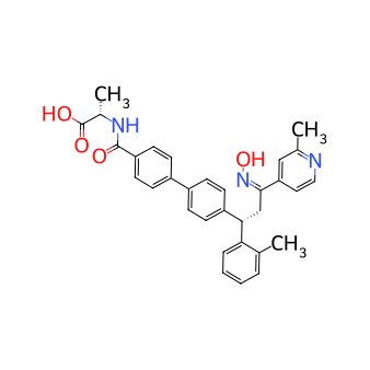 Cc1cc(C(C[C@@H](c2ccc(-c3ccc(C(=O)N[C@@H](C)C(=O)O)cc3)cc2)c2ccccc2C)=NO)ccn1